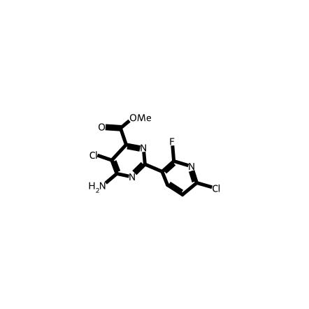 COC(=O)c1nc(-c2ccc(Cl)nc2F)nc(N)c1Cl